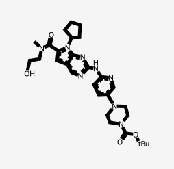 CN(CCO)C(=O)c1cc2cnc(Nc3ccc(N4CCN(C(=O)OC(C)(C)C)CC4)cn3)nc2n1C1CCCC1